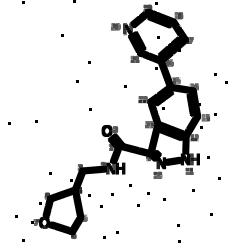 O=C(NCC1CCOC1)c1n[nH]c2ccc(-c3cccnc3)cc12